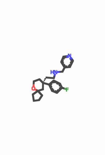 Fc1ccc([C@]2(CCNCc3ccncc3)CCOC3(CCCC3)C2)cc1